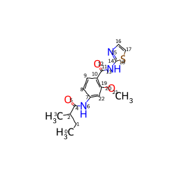 CCC(C)C(=O)Nc1ccc(C(=O)Nc2nccs2)c(OC)c1